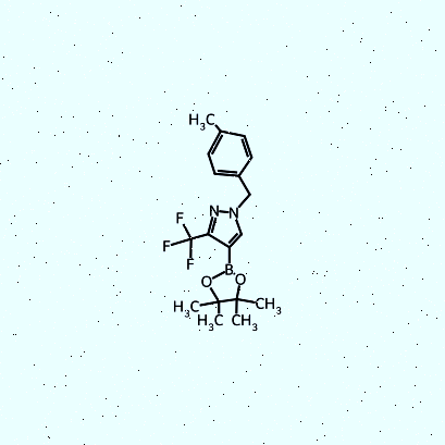 Cc1ccc(Cn2cc(B3OC(C)(C)C(C)(C)O3)c(C(F)(F)F)n2)cc1